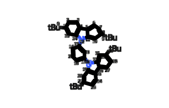 CC(C)(C)c1ccc2c3ccc(C(C)(C)C)cc3n(-c3cccc(-n4c5cc(C(C)(C)C)ccc5c5ccc(C(C)(C)C)cc54)c3)c2c1